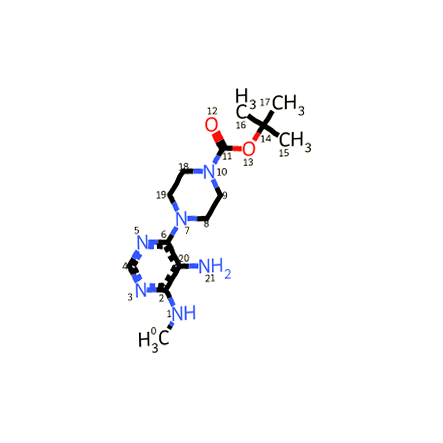 CNc1ncnc(N2CCN(C(=O)OC(C)(C)C)CC2)c1N